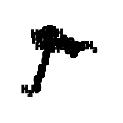 COc1ccc2c3c(c4ccccc4cc13)C(=O)N(CCN(C)C(=O)OCc1ccc(O[C@@H]3O[C@H](C(=O)O)[C@@H](O)[C@H](O)[C@H]3O)c(C(O)NCCOCCOCCOCCOCCOCCON)c1)C2=O